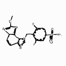 COC1=NC2C=Cc3ncn(Cc4c(F)cc(S(N)(=O)=O)cc4F)c3C2=N1